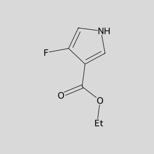 CCOC(=O)c1c[nH]cc1F